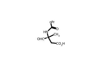 CCCC(=O)N[C@@](C)(C=O)CC(=O)O